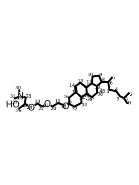 CC(C)CCCC(C)C1CCC2C3CC=C4C[C@@H](OCCOCCOC(CO)CN(C)C)CC[C@]4(C)C3CC[C@]12C